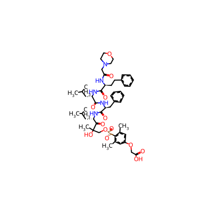 Cc1cc(OCC(=O)O)cc(C)c1S(=O)(=O)OCC(C)(O)C(=O)[C@H](CC(C)C)NC(=O)[C@H](Cc1ccccc1)NC(=O)[C@H](CC(C)C)NC(=O)[C@H](CCc1ccccc1)NC(=O)CN1CCOCC1